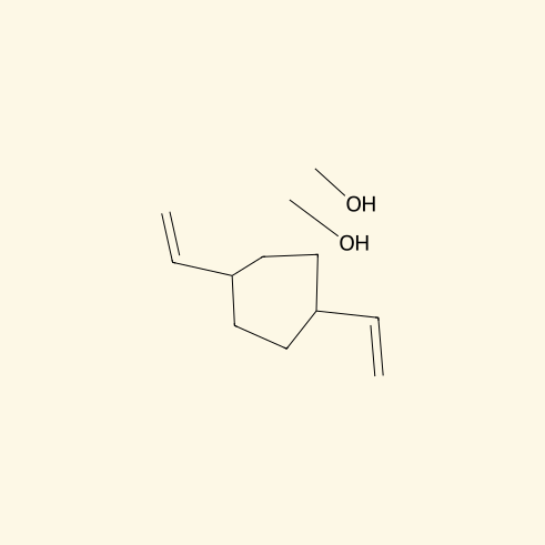 C=CC1CCC(C=C)CC1.CO.CO